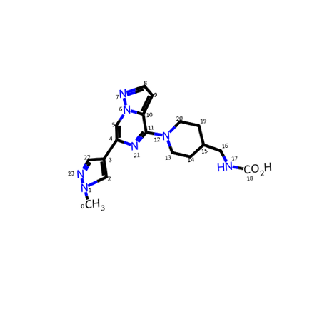 Cn1cc(-c2cn3nccc3c(N3CCC(CNC(=O)O)CC3)n2)cn1